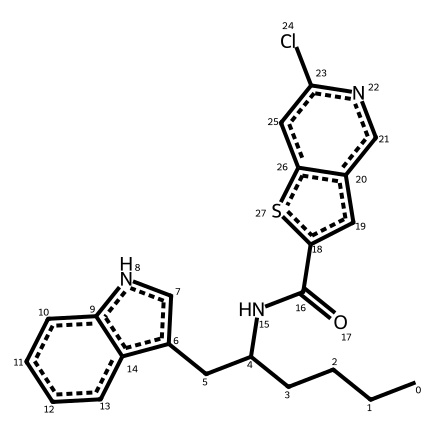 CCCCC(Cc1c[nH]c2ccccc12)NC(=O)c1cc2cnc(Cl)cc2s1